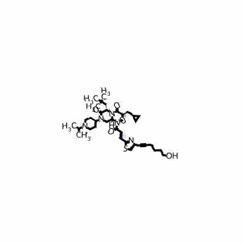 CC(C)N1CCC(N2C[C@@H]3N(C(=O)/C=C/c4nc(C#CCCCCO)cs4)O[C@H](CC4CC4)C(=O)N3[C@@H](CC(C)(C)C)C2=O)CC1